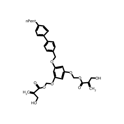 C=C(CO)C(=O)OCOc1cc(OCOC(=O)C(=C)CO)cc(OCc2ccc(-c3ccc(CCCCC)cc3)cc2)c1